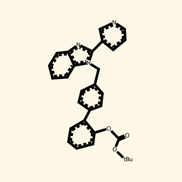 CC(C)(C)OC(=O)Oc1ccccc1-c1ccc(Cn2c(-c3cccnc3)nc3ccccc32)cc1